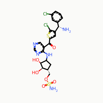 N[C@@H](c1cccc(Cl)c1)c1cc(C(=O)c2cncnc2NC2C[C@H](COS(N)(=O)=O)[C@@H](O)[C@H]2O)sc1Cl